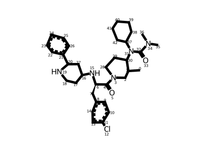 CC1CN(C(=O)[C@@H](Cc2ccc(Cl)cc2)NC2CCNC(c3ccccc3)C2)CCC1N(C(=O)N(C)C)C1CCCCC1